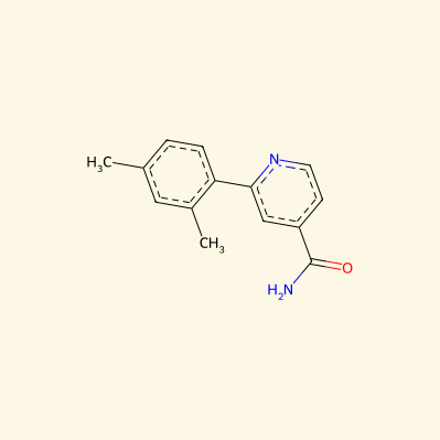 Cc1ccc(-c2cc(C(N)=O)ccn2)c(C)c1